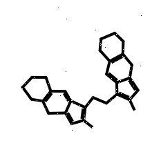 CC1=C(CCC2=C(C)C=C3CC4=C(C=C32)CCCC4)C2=CC3=C(CCCC3)CC2=C1